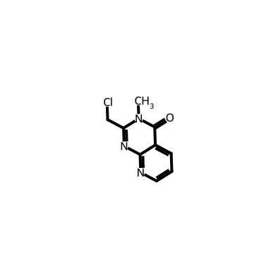 Cn1c(CCl)nc2ncccc2c1=O